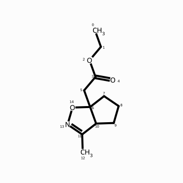 CCOC(=O)CC12CCCC1C(C)=NO2